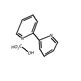 O=C(O)O.c1ccc(-c2ccccn2)nc1